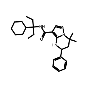 CCC(CC)(NC(=O)c1cnn2c1NC(c1ccccc1)CC2(C)C)C1CCCCC1